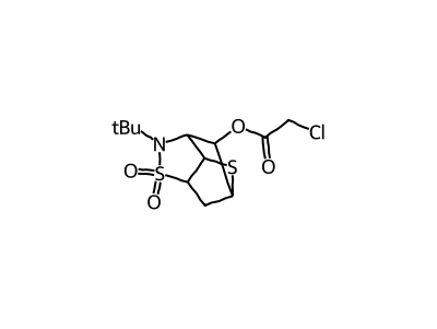 CC(C)(C)N1C2C(OC(=O)CCl)C3CC(C2S3)S1(=O)=O